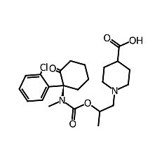 CC(CN1CCC(C(=O)O)CC1)OC(=O)N(C)[C@]1(c2ccccc2Cl)CCCCC1=O